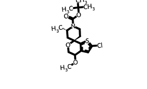 COC1CO[C@@]2(CCN(C(=O)OC(C)(C)C)[C@@H](C)C2)c2sc(Cl)cc21